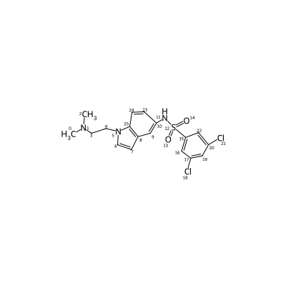 CN(C)CCn1ccc2cc(NS(=O)(=O)c3cc(Cl)cc(Cl)c3)ccc21